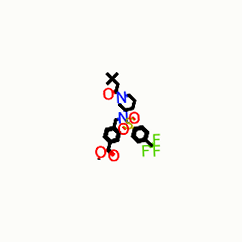 COC(=O)c1ccc(CN(C2CCCN(C(=O)CC(C)(C)C)C2)S(=O)(=O)c2ccc(C(F)(F)F)cc2)cc1